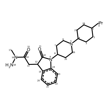 CC(C)C1CCC(N2CCC(N3C(=O)C(CC(=O)N(C)N)c4ccccc43)CC2)CC1